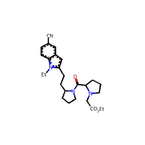 CCOC(=O)CN1CCCC1C(=O)N1CCCC1CCc1cc2cc(C#N)ccc2n1CC